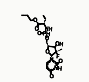 CCCOC(=O)[C@H](CC)N[PH](=O)OC[C@H]1O[C@@H](n2ccc(=O)[nH]c2=O)[C@](C)(F)[C@@H]1O